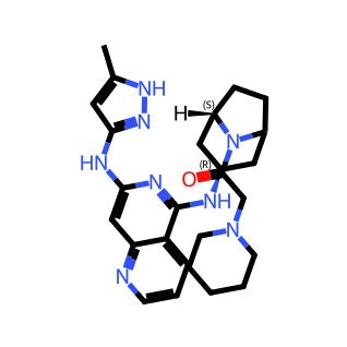 Cc1cc(Nc2cc3ncccc3c(N[C@@H]3CC4CC[C@@H](C3)N4C(=O)CN3CCCCC3)n2)n[nH]1